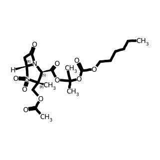 CCCCCCOC(=O)OC(C)(C)OC(=O)[C@@H]1N2C(=O)C[C@H]2S(=O)(=O)[C@@]1(C)COC(C)=O